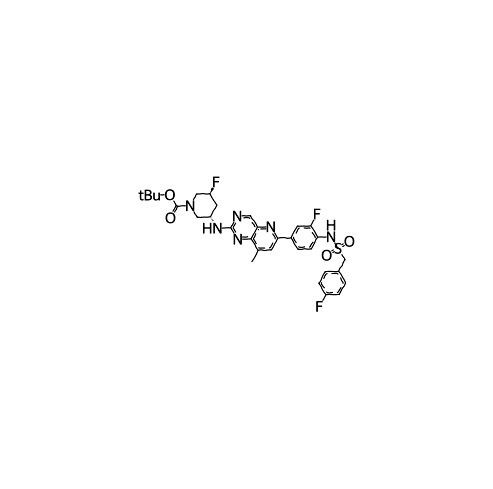 Cc1cc(-c2ccc(NS(=O)(=O)Cc3ccc(F)cc3)c(F)c2)nc2cnc(N[C@H]3C[C@H](F)CN(C(=O)OC(C)(C)C)C3)nc12